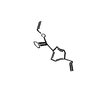 C=COC(=O)c1ccc(C=C)cc1